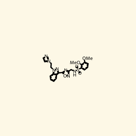 COc1cccc(S(=O)(=O)NCc2noc(-c3nn(CCn4ccnc4)c4ccccc34)n2)c1OC